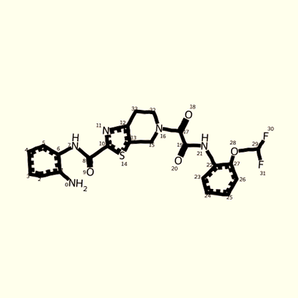 Nc1ccccc1NC(=O)c1nc2c(s1)CN(C(=O)C(=O)Nc1ccccc1OC(F)F)CC2